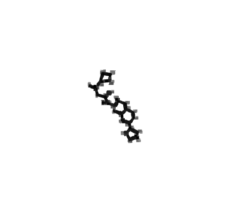 CN(CC(=O)Nc1cc2nc(-c3cnco3)ccc2cn1)C1CCC1